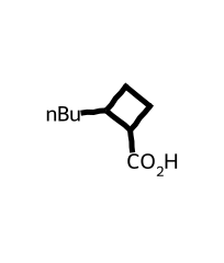 CCCCC1CCC1C(=O)O